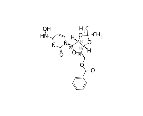 CC1(C)O[C@@H]2[C@H](O1)[C@@H](COC(=O)c1ccccc1)O[C@H]2n1ccc(NO)nc1=O